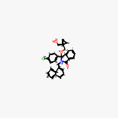 O=C1c2ccccc2C(OCC2(CO)CC2)(c2ccc(Cl)cc2)N1Cc1cccc2ccccc12